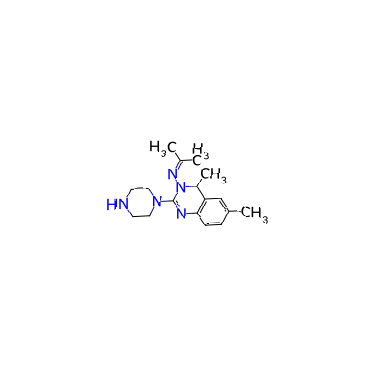 CC(C)=NN1C(N2CCNCC2)=Nc2ccc(C)cc2C1C